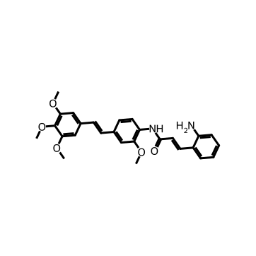 COc1cc(/C=C/c2cc(OC)c(OC)c(OC)c2)ccc1NC(=O)/C=C/c1ccccc1N